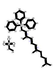 CC(C)=CCC/C(C)=C/C=C/C(C)=C/C[P+](c1ccccc1)(c1ccccc1)c1ccccc1.CCS(=O)(=O)[O-]